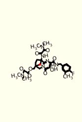 Cc1cc(CNC(=O)c2nc3n(c(=O)c2O)CC2(COC(=O)C(=O)N(C)C)CCC3(NC(=O)C(=O)N(C)C)CC2)ccc1F